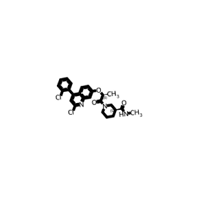 CNC(=O)[C@H]1CCCN(C(=O)[C@@H](C)Oc2ccc3c(-c4ccccc4Cl)cc(Cl)nc3c2)C1